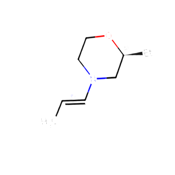 C/C=C/N1CCO[C@@H](CC)C1